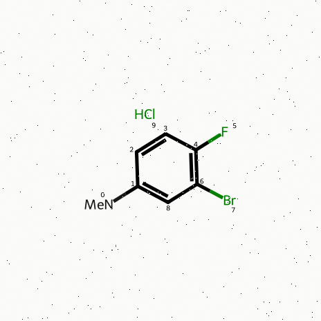 CNc1ccc(F)c(Br)c1.Cl